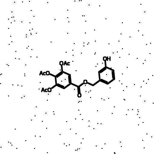 CC(=O)Oc1cc(C(=O)OCc2cccc(O)c2)cc(OC(C)=O)c1OC(C)=O